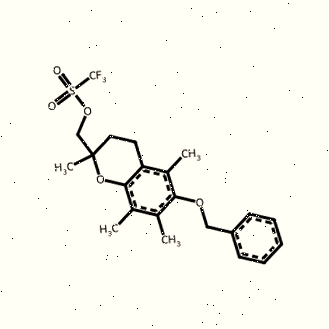 Cc1c(C)c2c(c(C)c1OCc1ccccc1)CCC(C)(COS(=O)(=O)C(F)(F)F)O2